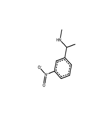 CNC(C)c1cccc([N+](=O)[O-])c1